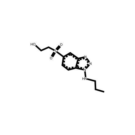 CCCNn1nnc2cc(S(=O)(=O)CCO)ccc21